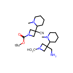 CN1CCCCC1C1(C#N)CN(C(=O)OC(C)(C)C)C1.CN1CCCCC1C1(CN)CN(C(=O)O)C1